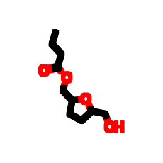 CCCC(=O)OCC1CCC(CO)O1